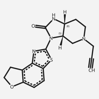 C#CCN1CC[C@H]2NC(=O)N(c3nc4c5c(ccc4s3)OCC5)[C@H]2C1